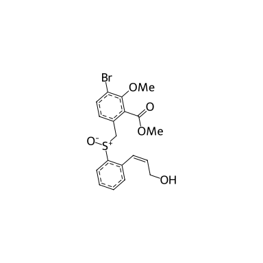 COC(=O)c1c(C[S+]([O-])c2ccccc2/C=C\CO)ccc(Br)c1OC